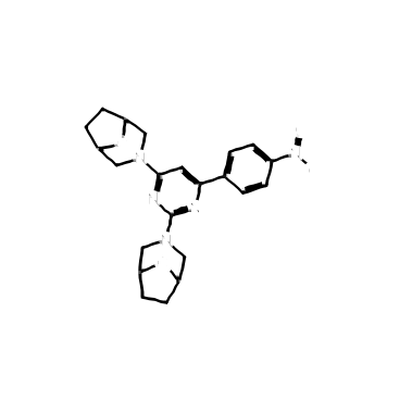 O=[N+]([O-])c1ccc(-c2cc(N3CC4CCC(C3)O4)nc(N3CC4CCC(C3)O4)n2)cc1